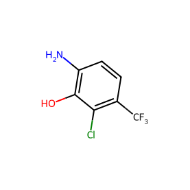 Nc1ccc(C(F)(F)F)c(Cl)c1O